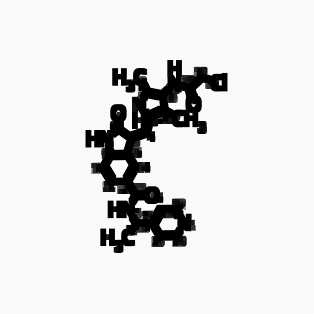 Cc1[nH]c(/C=C2\C(=O)Nc3ccc(C(=O)N[C@H](C)c4ccncc4)cc32)c(C)c1NC(=O)CCl